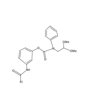 CCC(=O)Nc1cccc(OC(=O)N(CC(OC)OC)c2ccccc2)c1